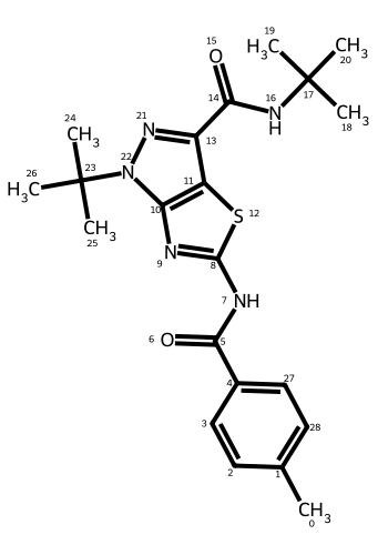 Cc1ccc(C(=O)Nc2nc3c(s2)c(C(=O)NC(C)(C)C)nn3C(C)(C)C)cc1